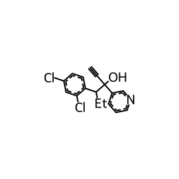 C#CC(O)(c1cccnc1)C(CC)c1ccc(Cl)cc1Cl